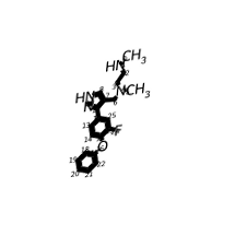 CNCCN(C)Cc1c[nH]nc1-c1ccc(Oc2ccccc2)c(F)c1